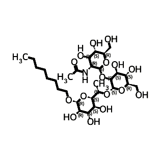 CCCCCCCCO[C@@H]1O[C@H]([C@H](C)O[C@H]2O[C@H](CO)[C@@H](O)[C@H](O)[C@@H]2O[C@@H]2O[C@H](CO)[C@@H](O)[C@H](O)[C@H]2NC(C)=O)[C@@H](O)[C@H](O)[C@H]1O